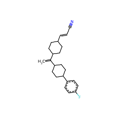 C=C(C1CCC(C=CC#N)CC1)C1CCC(c2ccc(F)cc2)CC1